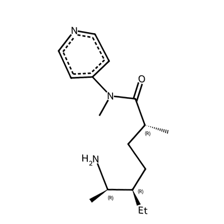 CC[C@H](CC[C@@H](C)C(=O)N(C)c1ccncc1)[C@@H](C)N